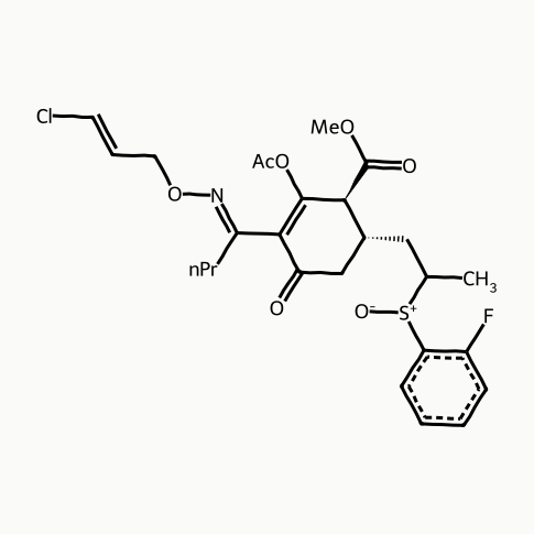 CCCC(=NOCC=CCl)C1=C(OC(C)=O)[C@@H](C(=O)OC)[C@H](CC(C)[S+]([O-])c2ccccc2F)CC1=O